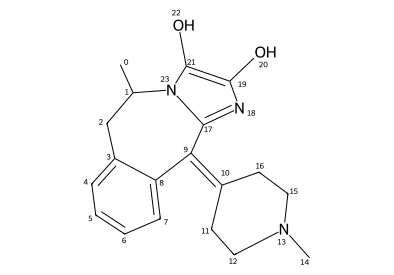 CC1Cc2ccccc2C(=C2CCN(C)CC2)c2nc(O)c(O)n21